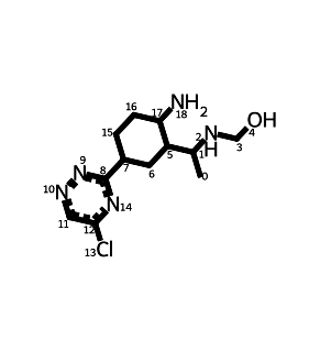 CC(NCO)C1CC(c2nncc(Cl)n2)CCC1N